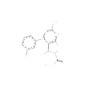 CNC(=O)C1Sc2nc(NC)nc(-c3cccc(Cl)c3)c2C1N